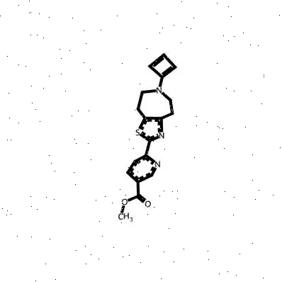 COC(=O)c1ccc(-c2nc3c(s2)CCN(C2=CC=C2)CC3)nc1